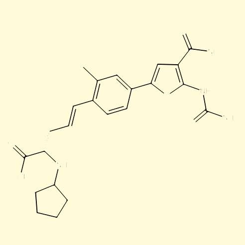 Cc1cc(-c2cc(C(N)=O)c(NC(N)=O)s2)ccc1C=CC[C@H](NC1CCCC1)C(=O)O